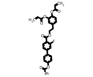 C=CC(=O)Oc1ccc(CCOC(=O)c2ccc(-c3ccc(OC(=O)C(C)C)cc3)cc2F)cc1OC(=O)C=C